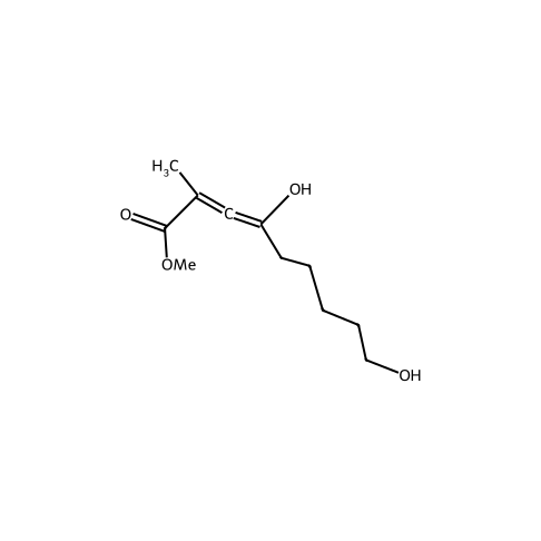 COC(=O)C(C)=C=C(O)CCCCCO